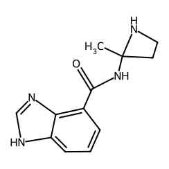 CC1(NC(=O)c2cccc3[nH]cnc23)CCN1